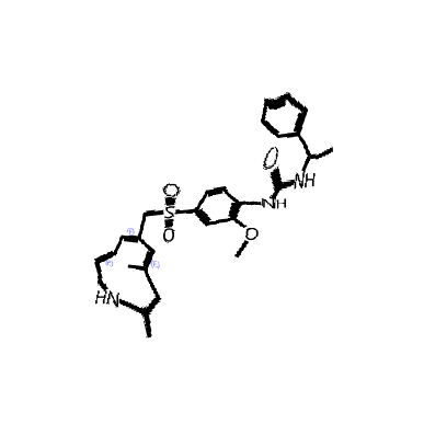 COc1cc(S(=O)(=O)CC2=C/C=C/CNC(C)C\C(C)=C\2)ccc1NC(=O)NC(C)c1ccccc1